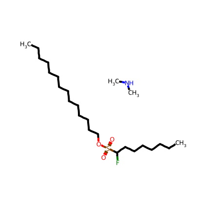 CCCCCCCCCCCCCCOS(=O)(=O)C(F)CCCCCCC.CNC